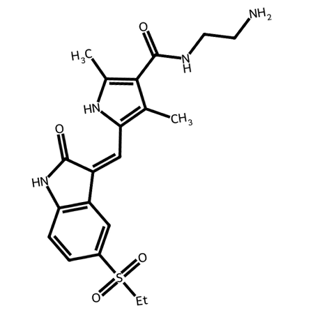 CCS(=O)(=O)c1ccc2c(c1)/C(=C/c1[nH]c(C)c(C(=O)NCCN)c1C)C(=O)N2